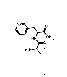 C[C@@H](N)C(=O)N[C@@H](Cc1cccnc1)C(=O)O